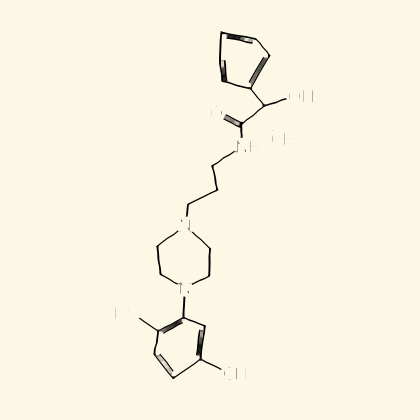 Cc1ccc(C)c(N2CCN(CCCNC(=O)[C@](C)(O)c3ccccc3)CC2)c1